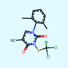 Cc1cccc(C)c1-n1cc(C#N)c(=O)n(SC(Cl)(Cl)Br)c1=O